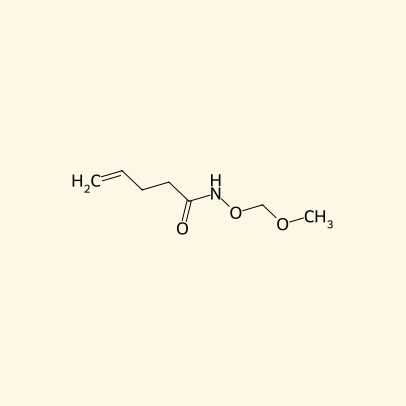 C=CCCC(=O)NOCOC